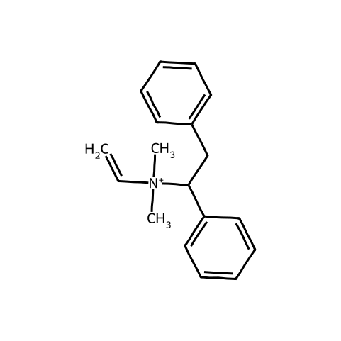 C=C[N+](C)(C)C(Cc1ccccc1)c1ccccc1